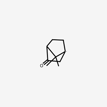 CC1(C)[C]2CCC1C(=O)C2